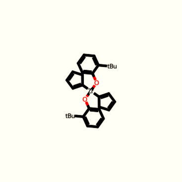 CC(C)(C)c1ccccc1[O][Zr]([O]c1ccccc1C(C)(C)C)([C]1=CC=CC1)[C]1=CC=CC1